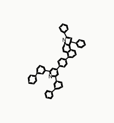 c1ccc(-c2cccc(-c3cc(-c4ccc(-c5cccc6c5ccc5nc(-c7ccccc7)cc(-c7ccccc7)c56)cc4)cc(-c4cccc(-c5ccccc5)c4)n3)c2)cc1